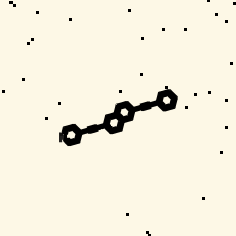 C(#Cc1ccc2cc(C#Cc3ccncc3)ccc2c1)c1ccccc1